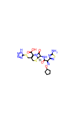 Nc1nc(/C(=N/OC2CCCC2)C(=O)NC2C(=O)N3C(C(=O)O)=C(CSc4nnn[nH]4)CS[C@H]23)ns1